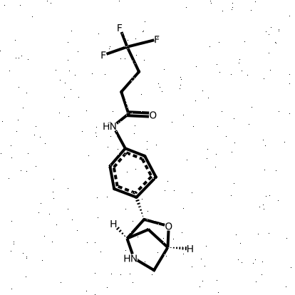 O=C(CCC(F)(F)F)Nc1ccc([C@@H]2O[C@H]3CN[C@@H]2C3)cc1